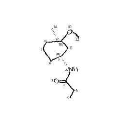 CCC(=O)N[C@@H]1CCC[C@@](C)(OC)C1